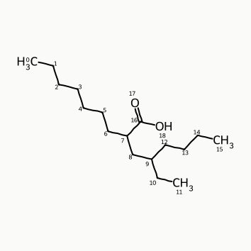 CCCCCCCC(CC(CC)CCCC)C(=O)O